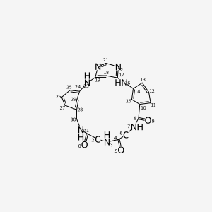 O=C1CNC(=O)CNC(=O)c2cccc(c2)Nc2cc(ncn2)Nc2cccc(c2)CN1